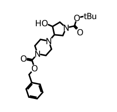 CC(C)(C)OC(=O)N1CC(O)C(N2CCN(C(=O)OCc3ccccc3)CC2)C1